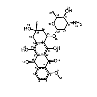 COc1cccc2c1C(=O)c1c(O)c3c(c(O)c1C2=O)C[C@](C)(O)C[C@@H]3O[C@H]1C[C@H](N)[C@H](O)[C@H](C)O1